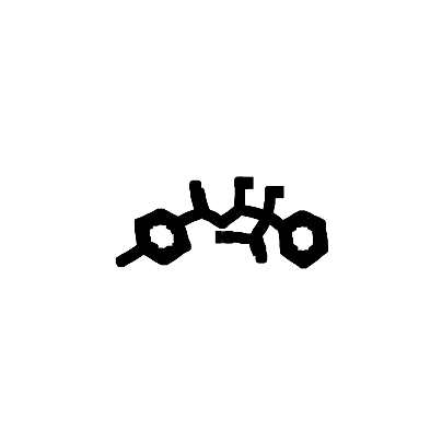 Cc1ccc(C(=O)CC(O)C(O)(C(=O)O)c2ccccc2)cc1